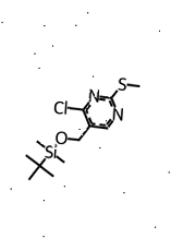 CSc1ncc(CO[Si](C)(C)C(C)(C)C)c(Cl)n1